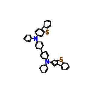 C1=C(N(C2=CCCC=C2)c2ccc(-c3ccc(N(c4ccccc4)c4ccc5c(c4)SC4=CC=CCC45)cc3)cc2)C=c2sc3ccccc3c2=1